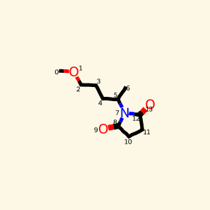 COCCCC(C)N1C(=O)CCC1=O